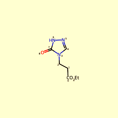 CCOC(=O)CCn1cn[nH]c1=O